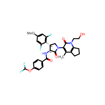 COc1cc(F)c([C@@H]2CN(c3c(C)c4c(n(CCO)c3=O)CCC4)C(=O)[C@H]2NC(=O)c2ccc(OC(F)F)cc2)c(F)c1